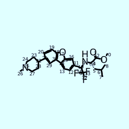 COC(=O)[C@H](CC(C)C)NC(c1ccc2c(c1)oc1ccc(C3CCN(C)CC3)cc12)C(F)(F)F